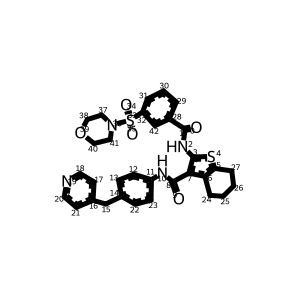 O=C(Nc1sc2c(c1C(=O)Nc1ccc(Cc3ccncc3)cc1)CCCC2)c1cccc(S(=O)(=O)N2CCOCC2)c1